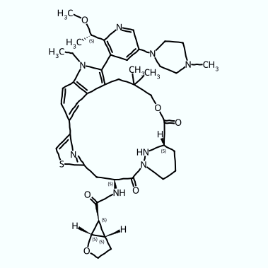 CCn1c(-c2cc(N3CCN(C)CC3)cnc2[C@H](C)OC)c2c3cc(ccc31)-c1csc(n1)C[C@H](NC(=O)[C@H]1[C@@H]3CCO[C@@H]31)C(=O)N1CCC[C@H](N1)C(=O)OCC(C)(C)C2